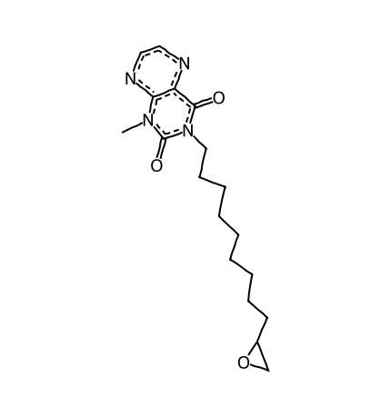 Cn1c(=O)n(CCCCCCCCCC2CO2)c(=O)c2nccnc21